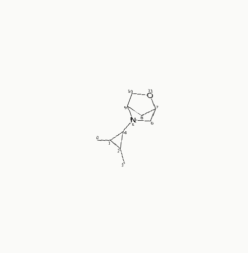 CC1C(C)C1N1CC2CC1CO2